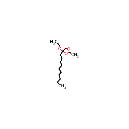 CCCCCCCCCCC(C=O)(OCC)OCC